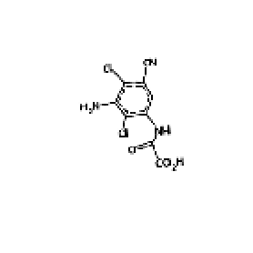 N#Cc1cc(NC(=O)C(=O)O)c(Cl)c(N)c1Cl